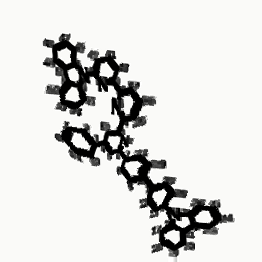 c1ccc(-c2cc(-c3ccc(-c4ccc(-n5c6ccccc6c6ccccc65)cc4)cc3)nc(-c3cccc(-c4cccc(-n5c6ccccc6c6ccccc65)n4)n3)c2)cc1